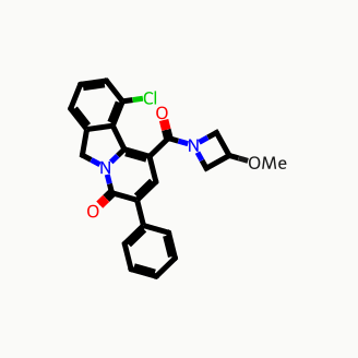 COC1CN(C(=O)c2cc(-c3ccccc3)c(=O)n3c2-c2c(Cl)cccc2C3)C1